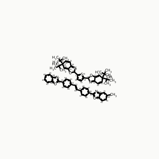 CC(C)(C)C1(C(C)(C)C)C=CC2=NC(c3ccc(C4N=C5C=CC(C(C)(C)C)(C(C)(C)C)C=C5O4)s3)OC2=C1.Cc1ccc2oc(-c3ccc(C=Cc4ccc(-c5nc6ccccc6o5)cc4)cc3)nc2c1